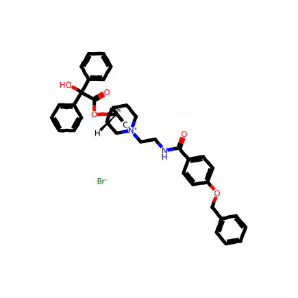 O=C(NCC[N+]12CCC(CC1)[C@@H](OC(=O)C(O)(c1ccccc1)c1ccccc1)C2)c1ccc(OCc2ccccc2)cc1.[Br-]